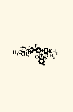 C[C@@H]1CN(c2cc(F)c(-c3cnc(N4CCOC(C)(C)C4)nc3)cc2NC(=O)c2ccc(F)cc2C(F)(F)F)CCN1C